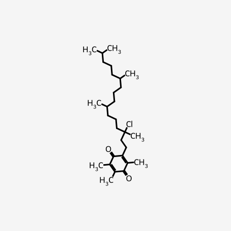 CC1=C(C)C(=O)C(CCC(C)(Cl)CCCC(C)CCCC(C)CCCC(C)C)=C(C)C1=O